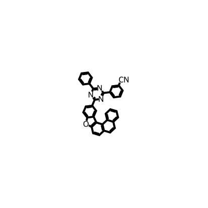 N#Cc1cccc(-c2nc(-c3ccccc3)nc(-c3ccc4oc5ccc6ccc7ccccc7c6c5c4c3)n2)c1